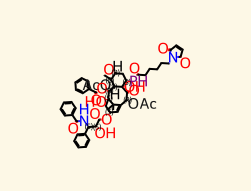 CC(=O)O[C@H]1C(=O)C2(O)[C@@H](PC(=O)CCCCCN3C(=O)C=CC3=O)C[C@H]3OC[C@@]3(OC(C)=O)[C@H]2[C@H](OC(=O)c2ccccc2)[C@]2(O)C[C@H](OC(=O)[C@@H](O)[C@@H](NC(=O)c3ccccc3)c3ccccc3)C=C1C2(C)C